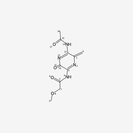 C=C1N=C(NC(=O)COC)C(=O)N=C1NC(C)=O